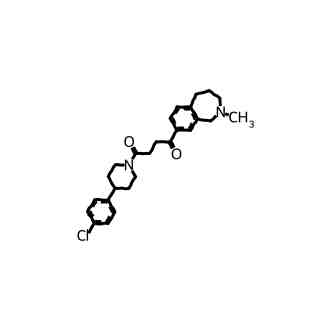 CN1CCCc2ccc(C(=O)CCC(=O)N3CCC(c4ccc(Cl)cc4)CC3)cc2C1